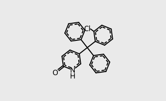 O=c1ccc(C(c2ccccc2)(c2ccccc2)c2ccccc2Cl)c[nH]1